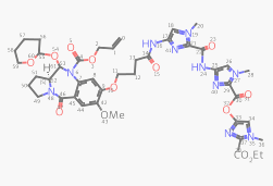 C=CCOC(=O)N1c2cc(OCCCC(=O)Nc3cn(C)c(C(=O)Nc4cn(C)c(C(=O)Oc5cn(C)c(C(=O)OCC)n5)n4)n3)c(OC)cc2C(=O)N2CCC[C@H]2C1OC1CCCCO1